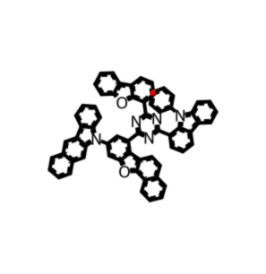 c1ccc(-n2c3ccccc3c3cccc(-c4nc(-c5cccc6c5oc5ccccc56)nc(-c5cc(-n6c7ccccc7c7cc8ccccc8cc76)cc6oc7c8ccccc8ccc7c56)n4)c32)cc1